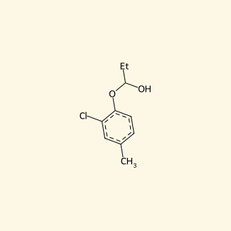 CCC(O)Oc1ccc(C)cc1Cl